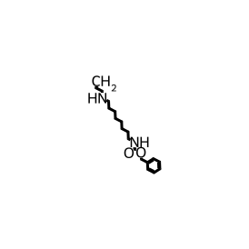 C=CCNCCCCCCCCNC(=O)OCc1ccccc1